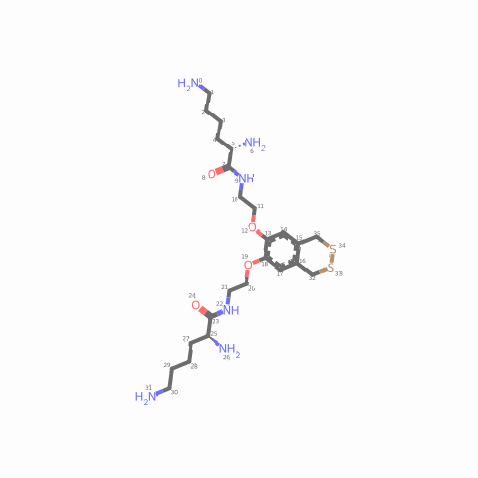 NCCCC[C@H](N)C(=O)NCCOc1cc2c(cc1OCCNC(=O)[C@@H](N)CCCCN)CSSC2